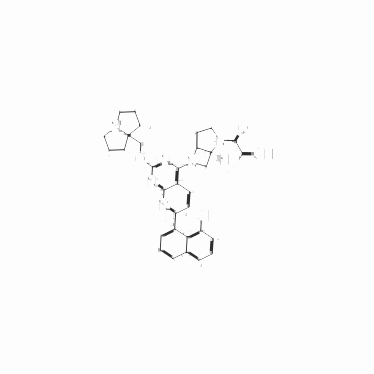 C=C(F)C(=O)N1CCC2[C@H]1CN2c1nc(OCC23CCCN2CCC3)nc2nc(-c3cccc4cccc(Cl)c34)ccc12